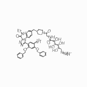 CCNC(=O)c1nnc(-c2cc(C(C)C)c(OCc3ccccc3)cc2OCc2ccccc2)n1-c1ccc(CC2CCN(C(=O)CNC(=O)[C@H](O)[C@@H](O)[C@H](O)[C@H](O)CN=[N+]=[N-])CC2)cc1